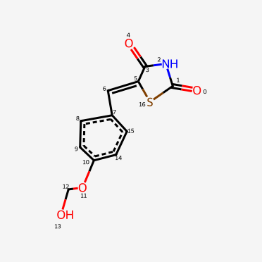 O=C1NC(=O)C(=Cc2ccc(OCO)cc2)S1